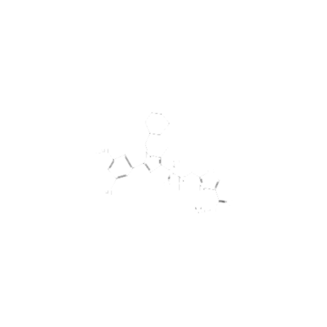 COC(=O)c1coc(CNS(=O)(=O)c2cc(-c3cc(C(C)(C)C)cc(C(C)(C)C)c3)n(CC3CCCCC3)c2C)n1